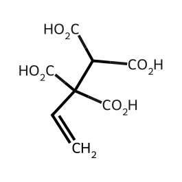 C=CC(C(=O)O)(C(=O)O)C(C(=O)O)C(=O)O